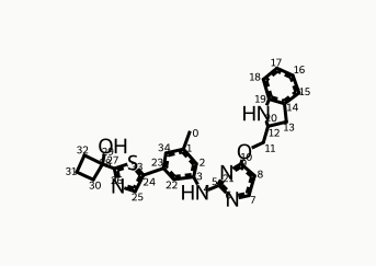 Cc1cc(Nc2nccc(OCC3Cc4ccccc4N3)n2)cc(-c2cnc(C3(O)CCC3)s2)c1